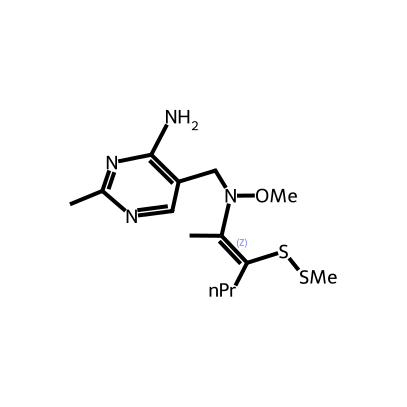 CCC/C(SSC)=C(\C)N(Cc1cnc(C)nc1N)OC